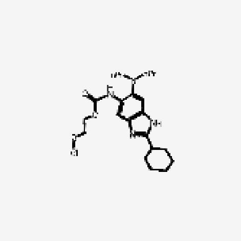 CCCN(CCC)c1cc2[nH]c(C3CCCCC3)nc2cc1NC(=O)OCCOCC